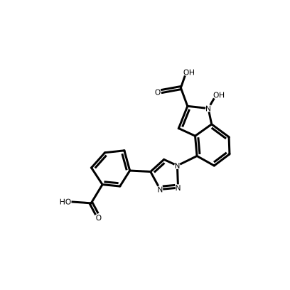 O=C(O)c1cccc(-c2cn(-c3cccc4c3cc(C(=O)O)n4O)nn2)c1